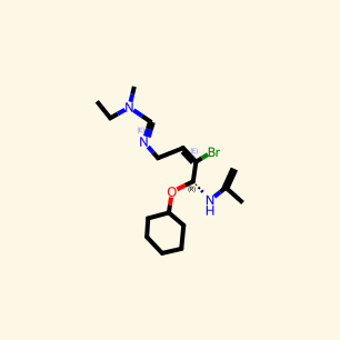 C=C(C)N[C@H](OC1CCCCC1)/C(Br)=C\C/N=C/N(C)CC